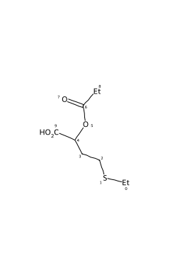 CCSCCC(OC(=O)CC)C(=O)O